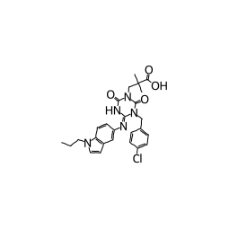 CCCn1ccc2cc(/N=c3\[nH]c(=O)n(CC(C)(C)C(=O)O)c(=O)n3Cc3ccc(Cl)cc3)ccc21